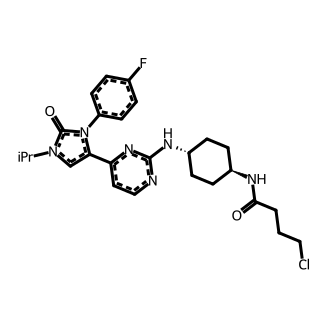 CC(C)n1cc(-c2ccnc(N[C@H]3CC[C@H](NC(=O)CCCCl)CC3)n2)n(-c2ccc(F)cc2)c1=O